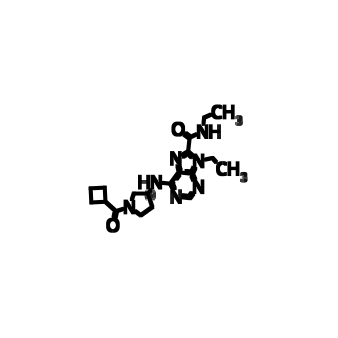 CCNC(=O)c1nc2c(N[C@H]3CCN(C(=O)C4CCC4)C3)ncnc2n1CC